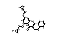 O=c1c2ccc3ccccc3c2oc2cc(OCC3CS3)cc(OCC3CS3)c12